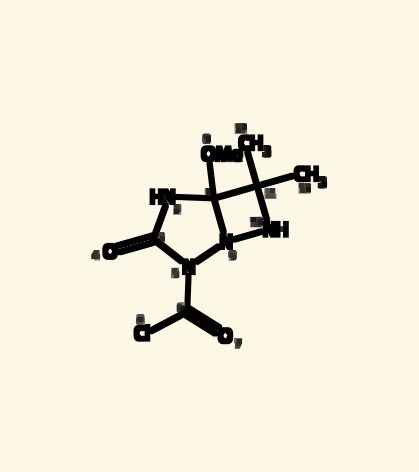 COC12NC(=O)N(C(=O)Cl)N1NC2(C)C